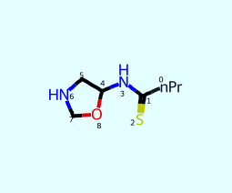 CCCC(=S)NC1CNCO1